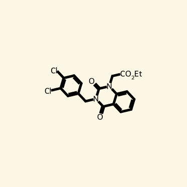 CCOC(=O)Cn1c(=O)n(Cc2ccc(Cl)c(Cl)c2)c(=O)c2ccccc21